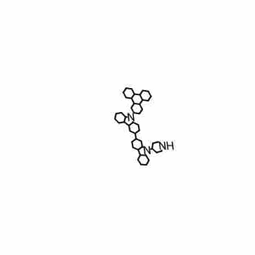 C1CCC2C(C1)C1CCCCC1C1CC(N3C4CCCCC4C4CC(C5CCC6C7CCCCC7N(C7CCNCC7)C6C5)CCC43)CCC21